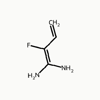 C=CC(F)=C(N)N